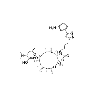 CC[C@H]1OC(=O)[C@H](C)C(=O)[C@H](C)[C@@H](O[C@@H]2O[C@H](C)CC(N(C)C)C2O)[C@](C)(OC)C[C@H](C)N[C@H](C)[C@H]2N(CCCCn3cc(-c4cccc(N)c4)nn3)C(=O)O[C@]12C